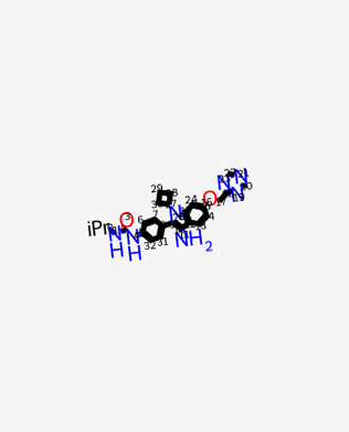 CC(C)NC(=O)Nc1ccc(-c2c(N)c3ccc(OCc4ncncn4)cc3n2C2CCC2)cc1